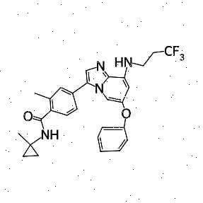 Cc1cc(-c2cnc3c(NCCC(F)(F)F)cc(Oc4ccccc4)cn23)ccc1C(=O)NC1(C)CC1